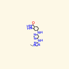 CCn1cnc(Nc2cc(Nc3ccc4c(=O)[nH][nH]c4c3)ncn2)n1